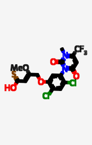 COC(=CC(O)=S)COc1cc(-n2c(=O)cc(C(F)(F)F)n(C)c2=O)c(Cl)cc1Cl